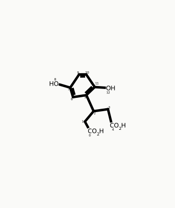 O=C(O)CC(CC(=O)O)c1cc(O)ccc1O